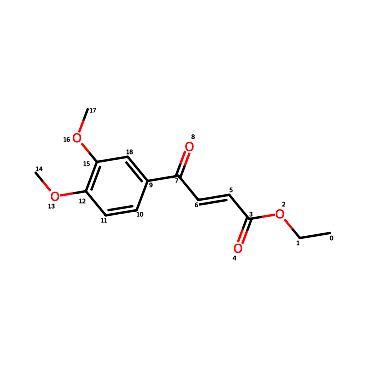 CCOC(=O)C=CC(=O)c1ccc(OC)c(OC)c1